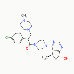 C[C@@H]1C[C@@H](O)c2ncnc(N3CCN(C(=O)C(CN4CCN(C)CC4)c4ccc(Cl)cc4)CC3)c21